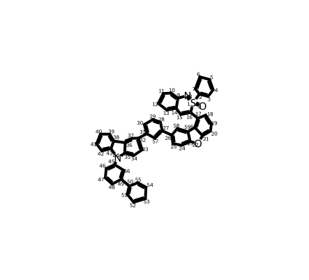 O=S1(c2ccccc2)=Nc2ccccc2C=C1c1cccc2oc3ccc(-c4cccc(-c5ccc6c(c5)c5ccccc5n6-c5cccc(-c6ccccc6)c5)c4)cc3c12